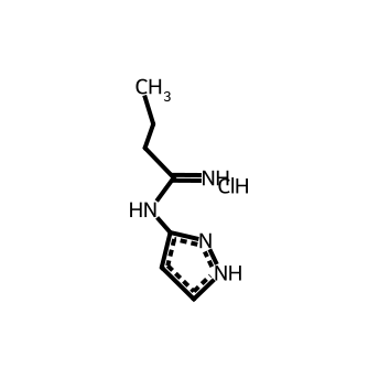 CCCC(=N)Nc1cc[nH]n1.Cl